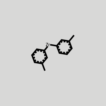 Cc1ccc[c]([Zr][c]2cccc(C)c2)c1